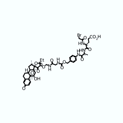 CCC(=O)O[C@]1(C(=O)COCNC(=O)CNC(=O)OCc2ccc(NC(=O)[C@H](C)NC(=O)[C@H](CCC(=O)O)NC(=O)CBr)cc2)[C@@H](C)CC2[C@@H]3CCC4=CC(=O)C=C[C@]4(C)[C@@]3(Cl)[C@@H](O)C[C@@]21C